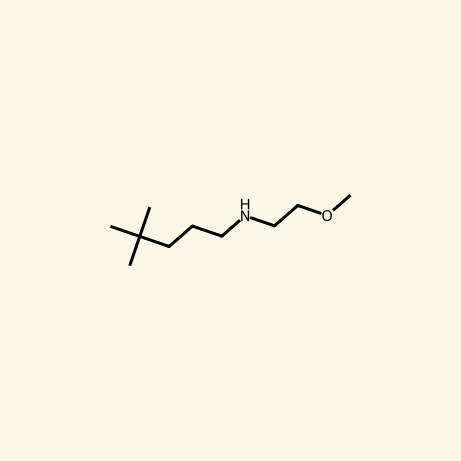 COCCNCCCC(C)(C)C